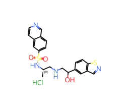 C[C@H](CNCC(O)c1ccc2sncc2c1)NS(=O)(=O)c1ccc2cnccc2c1.Cl